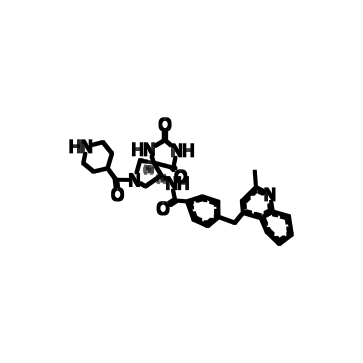 Cc1cc(Cc2ccc(C(=O)N[C@H]3CN(C(=O)C4CCNCC4)C[C@]34NC(=O)NC4=O)cc2)c2ccccc2n1